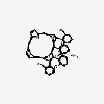 Clc1cccc(Cl)c1C1=CC2=CC3=NC(=CC4=NC(=CC5=NC(=C(c6c(Cl)cccc6Cl)C1=N2)C(c1c(Cl)cccc1Cl)=C5c1c(Cl)cccc1Cl)C=C4)C=C3.[AlH3]